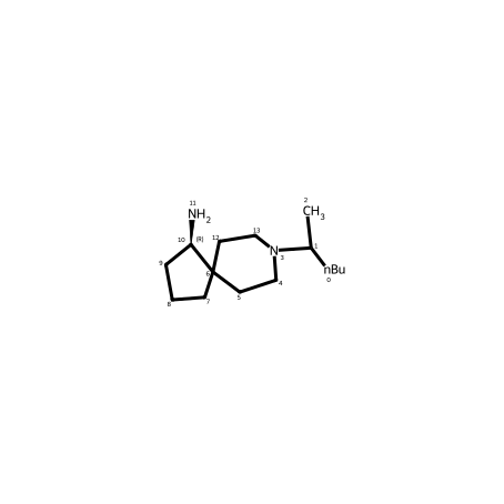 CCCCC(C)N1CCC2(CCC[C@H]2N)CC1